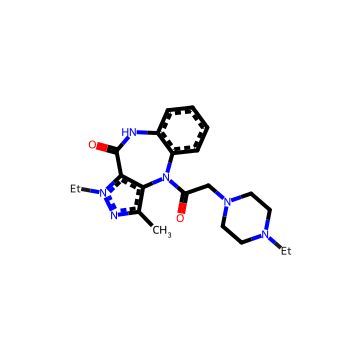 CCN1CCN(CC(=O)N2c3ccccc3NC(=O)c3c2c(C)nn3CC)CC1